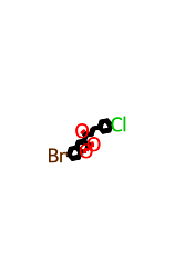 O=C(C=Cc1ccc(Cl)cc1)c1cc2cc(Br)ccc2oc1=O